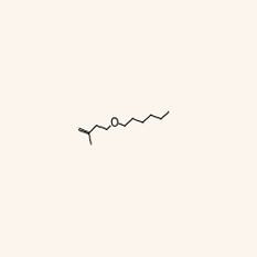 C=C(C)CCOCCCCCC